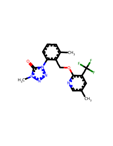 Cc1cnc(OCc2c(C)cccc2-n2nnn(C)c2=O)c(C(F)(F)F)c1